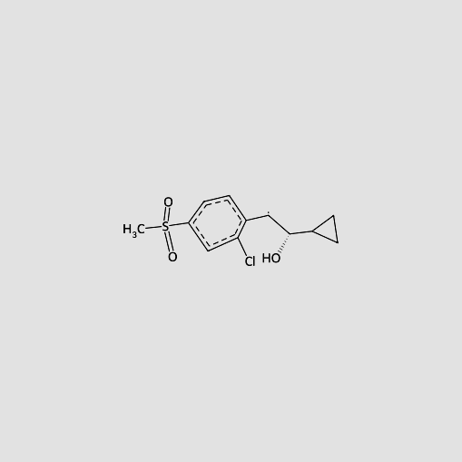 CS(=O)(=O)c1ccc([CH][C@@H](O)C2CC2)c(Cl)c1